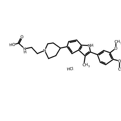 COc1ccc(-c2[nH]c3ccc(C4CCN(CCNC(=O)O)CC4)cc3c2C)cc1OC.Cl